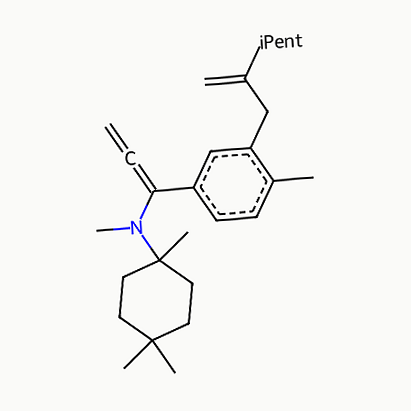 C=C=C(c1ccc(C)c(CC(=C)C(C)CCC)c1)N(C)C1(C)CCC(C)(C)CC1